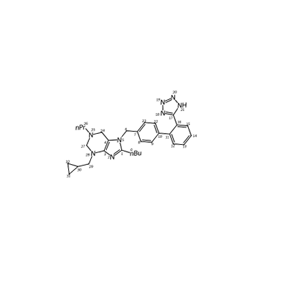 CCCCc1nc2c(n1Cc1ccc(-c3ccccc3-c3nnn[nH]3)cc1)CN(CCC)CN2CC1CC1